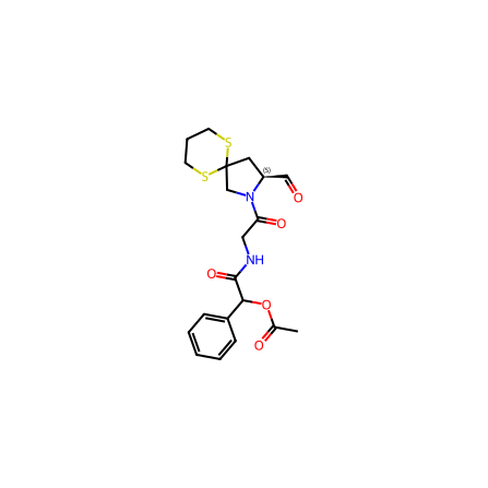 CC(=O)OC(C(=O)NCC(=O)N1CC2(C[C@H]1C=O)SCCCS2)c1ccccc1